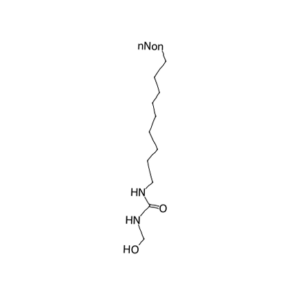 CCCCCCCCCCCCCCCCCCNC(=O)NCO